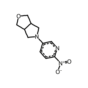 O=[N+]([O-])c1ccc(N2CC3COCC3C2)cn1